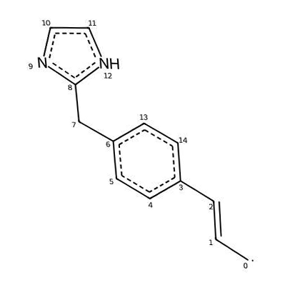 [CH2]C=Cc1ccc(Cc2ncc[nH]2)cc1